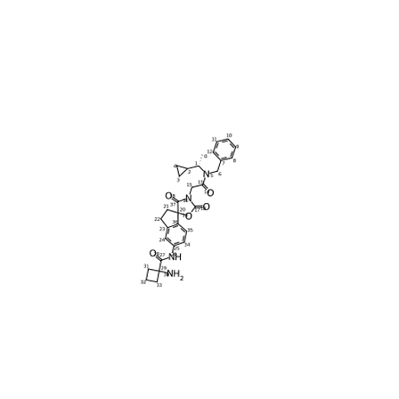 C[C@@H](C1CC1)N(Cc1ccccc1)C(=O)CN1C(=O)OC2(CCc3cc(NC(=O)C4(N)CCC4)ccc32)C1=O